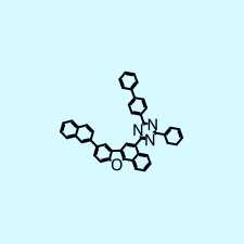 C1=CCCC(c2nc(-c3ccc(-c4ccccc4)cc3)nc(-c3cc4c5cc(-c6ccc7ccccc7c6)ccc5oc4c4ccccc34)n2)=C1